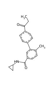 CCC(=O)c1ccc(-c2cc(C(=O)NC3CC3)ccc2C)cc1